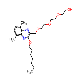 CCCCCCCOc1nc2c(C)ccc(C)c2nc1COCCOCCOCCO